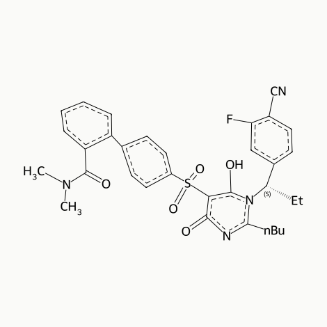 CCCCc1nc(=O)c(S(=O)(=O)c2ccc(-c3ccccc3C(=O)N(C)C)cc2)c(O)n1[C@@H](CC)c1ccc(C#N)c(F)c1